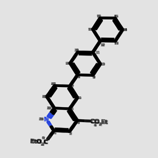 CCOC(=O)c1cc(C(=O)OCC)c2cc(-c3ccc(-c4ccccc4)cc3)ccc2n1